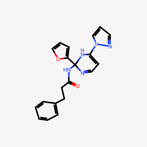 O=C(CCc1ccccc1)NC1(c2ccco2)N=CC=C(n2cccn2)N1